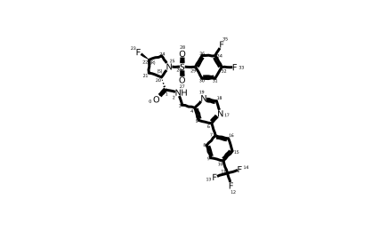 O=C(NCc1cc(-c2ccc(C(F)(F)F)cc2)ncn1)[C@@H]1C[C@@H](F)CN1S(=O)(=O)c1ccc(F)c(F)c1